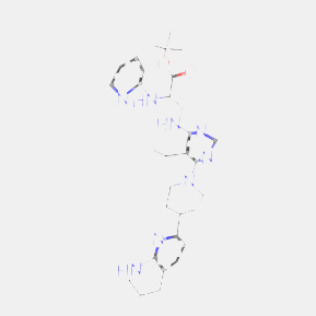 CCc1c(NCC(Nc2ccccn2)C(=O)OC(C)(C)C)ncnc1N1CCC(c2ccc3c(n2)NCCC3)CC1